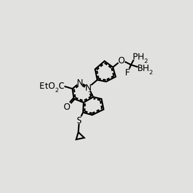 BC(F)(P)Oc1ccc(-n2nc(C(=O)OCC)c(=O)c3c(SC4CC4)cccc32)cc1